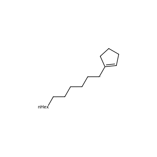 CCCCCCCCCCC[CH]C1=CCCC1